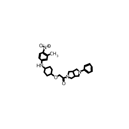 Cc1cc(NC2CCC(OCC(=O)N3CC4CN(c5ccccc5)CC4C3)CC2)ccc1[N+](=O)[O-]